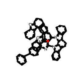 c1ccc(-c2ccc(-c3nc(-c4ccccc4)nc(-n4c5ccccc5c5ccc6c7ccccc7n(-c7cc(-c8cccc9oc%10ccccc%10c89)c8oc9ccccc9c8c7)c6c54)n3)cc2)cc1